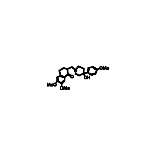 COc1ccc(C2(O)CCN(CC3CCc4cc(OC)c(OC)cc4C3=O)CC2)cc1